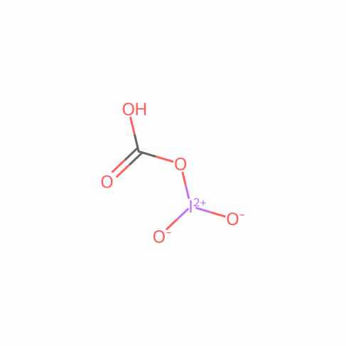 O=C(O)O[I+2]([O-])[O-]